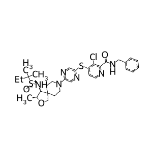 CCC(C)(C)[S+]([O-])N[C@@H]1[C@H](C)OCC12CCN(c1cnc(Sc3ccnc(C(=O)NCc4ccccc4)c3Cl)cn1)CC2